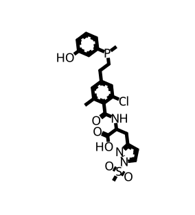 Cc1cc(CCP(C)c2cccc(O)c2)cc(Cl)c1C(=O)NC(Cc1ccn(S(C)(=O)=O)n1)C(=O)O